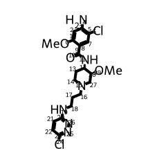 COc1cc(N)c(Cl)cc1C(=O)N[C@@H]1CCN(CCCNc2ccc(Cl)nn2)C[C@@H]1OC